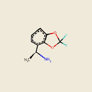 C[C@H](N)c1cccc2c1OC(F)(F)O2